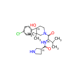 CC(C)[C@@H](NC(=O)[C@H]1CCNC1)C(=O)N1CC[C@](O)(c2ccc(Cl)cc2)C(C)(C)C1